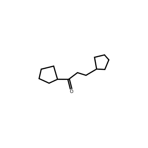 O=C(CCC1CCCC1)C1CCCC1